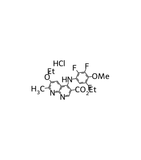 CCOC(=O)c1cnc2nc(C)c(OCC)cc2c1Nc1cc(F)c(OC)c(F)c1F.Cl